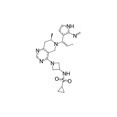 C=Nc1[nH]ccc1/C(=C\C)N1Cc2c(ncnc2N2CC(NS(=O)(=O)C3CC3)C2)C[C@H]1C